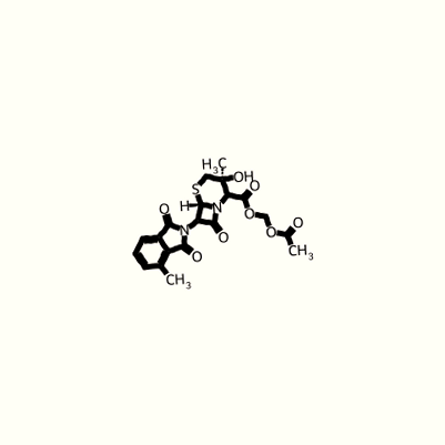 CC(=O)OCOC(=O)C1N2C(=O)C(N3C(=O)c4cccc(C)c4C3=O)[C@@H]2SC[C@@]1(C)O